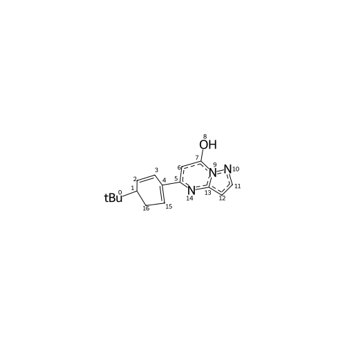 CC(C)(C)C1C=CC(c2cc(O)n3nccc3n2)=CC1